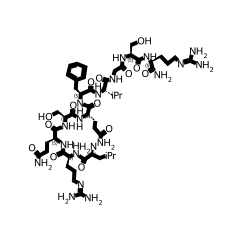 CC(C)C[C@H](N)C(=O)N[C@@H](CCCN=C(N)N)C(=O)N[C@@H](CCC(N)=O)C(=O)N[C@@H](CO)C(=O)N[C@@H](CCC(N)=O)C(=O)N[C@@H](Cc1ccccc1)C(=O)N[C@H](C(=O)NCC(=O)N[C@@H](CO)C(=O)N[C@@H](CCCN=C(N)N)C(N)=O)C(C)C